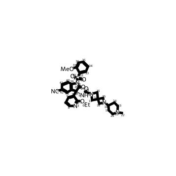 CCOc1ncccc1[C@]1(NC(=O)N2CC3(C2)CN(C2CCN(C)CC2)C3)C(=O)N(S(=O)(=O)c2ccccc2OC)c2ccc(C#N)cc21